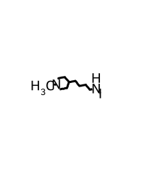 CN1CCC(CCCCNI)CC1